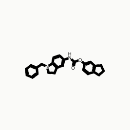 O=C(Nc1ccc2c(c1)CCN2Cc1ccccc1)Oc1ccc2c(c1)CCC2